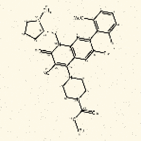 COc1cccc(F)c1-c1nc2c(cc1F)c(N1CCN(C(=O)OC(C)(C)C)CC1)c(C#N)c(=O)n2C[C@@H]1CCCN1C